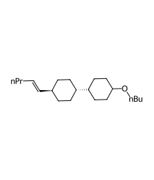 CCC/C=C/[C@H]1CC[C@H](C2CCC(OCCCC)CC2)CC1